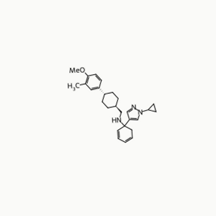 COc1ccc([C@H]2CC[C@H](CNC3(c4cnn(C5CC5)c4)C=CC=CC3)CC2)cc1C